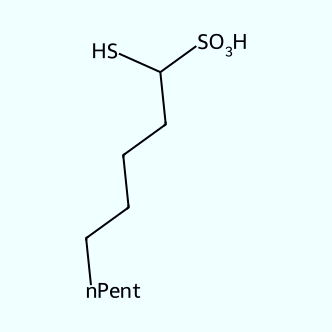 CCCCCCCCCC(S)S(=O)(=O)O